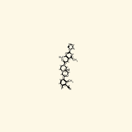 Cc1nc(-n2cnnn2)nc(C)c1CC(=O)N1CCN2C[C@H](c3ccc(F)c(C#N)c3C)OC[C@H]2C1